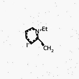 C=Cc1cccc[n+]1CC.[I-]